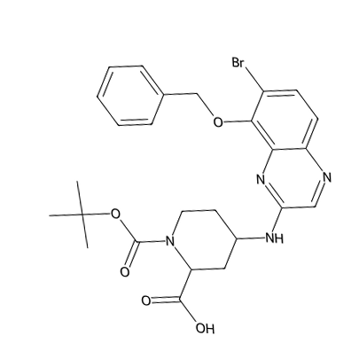 CC(C)(C)OC(=O)N1CCC(Nc2cnc3ccc(Br)c(OCc4ccccc4)c3n2)CC1C(=O)O